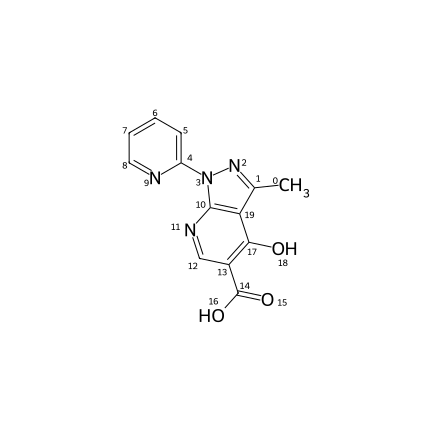 Cc1nn(-c2ccccn2)c2ncc(C(=O)O)c(O)c12